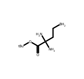 BCCC(N)(N)C(=O)OC(C)(C)C